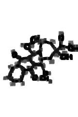 COc1c2c(c(OC)c3c1C(=O)c1ccccc1C3=O)CC(O)(C(=O)O)CC2